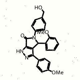 COc1ccc(-c2n[nH]c3c2C(c2ccccc2OC)N(c2ccc(CO)cc2)C3=O)cc1